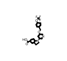 O=C(O)c1ccc2c(c1)CCN2c1cncc(OCc2ccc(OC(F)(F)F)cc2)c1